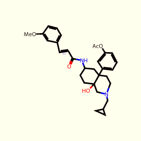 COc1cccc(/C=C/C(=O)NC2CCC3(O)CN(CC4CC4)CCC3(c3cccc(OC(C)=O)c3)C2)c1